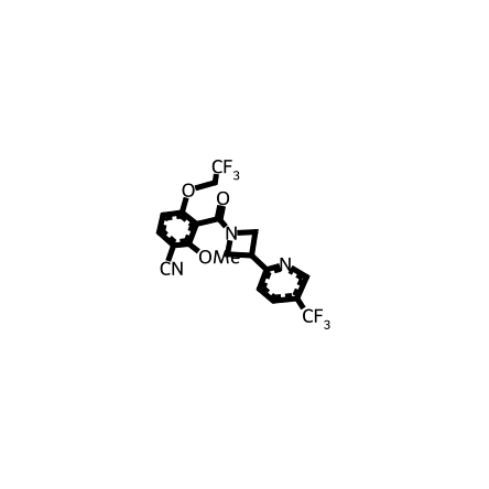 COc1c(C#N)ccc(OCC(F)(F)F)c1C(=O)N1CC(c2ccc(C(F)(F)F)cn2)C1